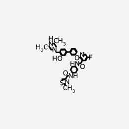 Cc1nc(C(=O)NC2CCC(NC(=O)c3cc(F)cnc3Oc3cccc(-c4ccc(CN5C[C@@H](C)N[C@@H](C)C5)c(O)c4)c3)CC2)cs1